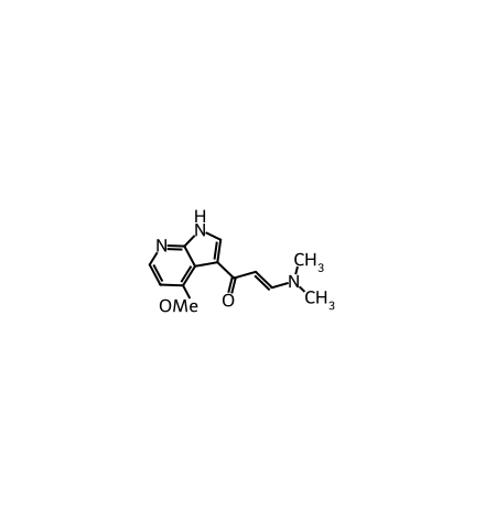 COc1ccnc2[nH]cc(C(=O)/C=C/N(C)C)c12